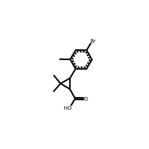 Cc1cc(Br)ccc1C1C(C(=O)O)C1(C)C